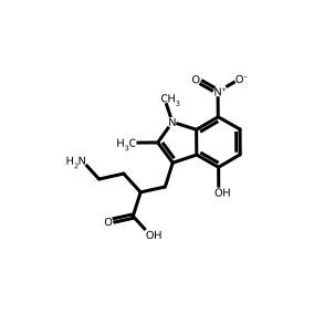 Cc1c(CC(CCN)C(=O)O)c2c(O)ccc([N+](=O)[O-])c2n1C